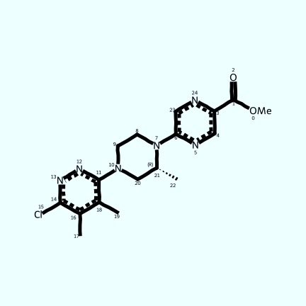 COC(=O)c1cnc(N2CCN(c3nnc(Cl)c(C)c3C)C[C@H]2C)cn1